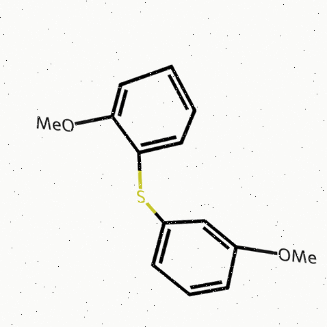 COc1cccc(Sc2ccccc2OC)c1